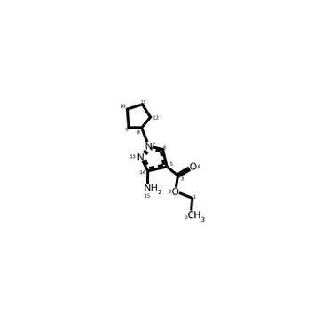 CCOC(=O)c1cn(C2CCCC2)nc1N